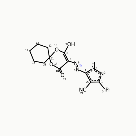 CC(C)c1n[nH]c(/N=N/C2=C(O)OC3(CCCCC3)OC2=O)c1C#N